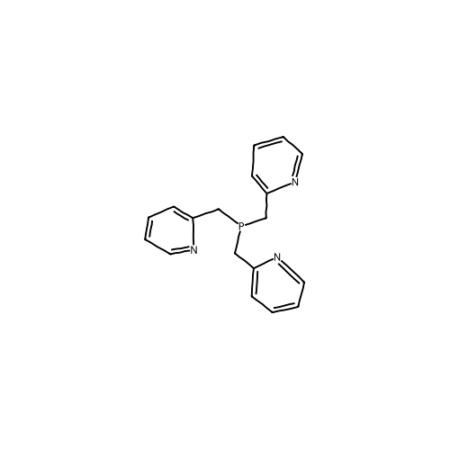 c1ccc(CP(Cc2ccccn2)Cc2ccccn2)nc1